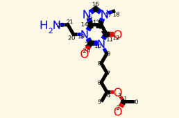 CC(=O)OC(C)CCCCn1c(=O)c2c(ncn2C)n(CCN)c1=O